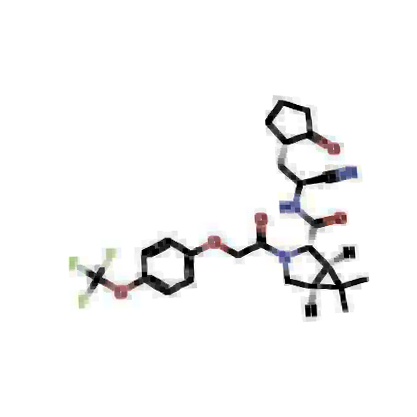 CC1(C)[C@@H]2[C@@H](C(=O)N[C@H](C#N)C[C@@H]3CCCC3=O)N(C(=O)COc3ccc(OC(F)(F)F)cc3)C[C@@H]21